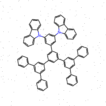 c1ccc(-c2cc(-c3ccccc3)cc(-c3cc(-c4cc(-c5ccccc5)cc(-c5ccccc5)c4)cc(-c4cc(-n5c6ccccc6c6ccccc65)cc(-n5c6ccccc6c6ccccc65)c4)c3)c2)cc1